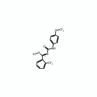 CCO/C(=N\C(=O)Nc1ccc(OC(F)(F)F)cc1)c1ccccc1C(F)(F)F